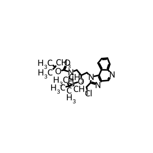 CC(C)(C)OC(=O)NCC(Cn1c(CCl)nc2cnc3ccccc3c21)O[Si](C)(C)C(C)(C)C